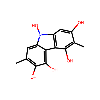 Cc1cc2c(c(O)c1O)c1c(O)c(C)c(O)cc1n2O